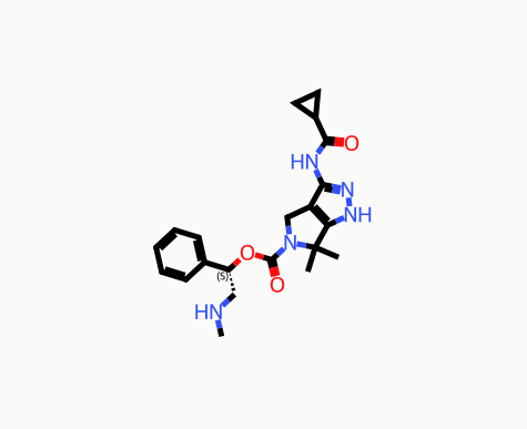 CNC[C@@H](OC(=O)N1Cc2c(NC(=O)C3CC3)n[nH]c2C1(C)C)c1ccccc1